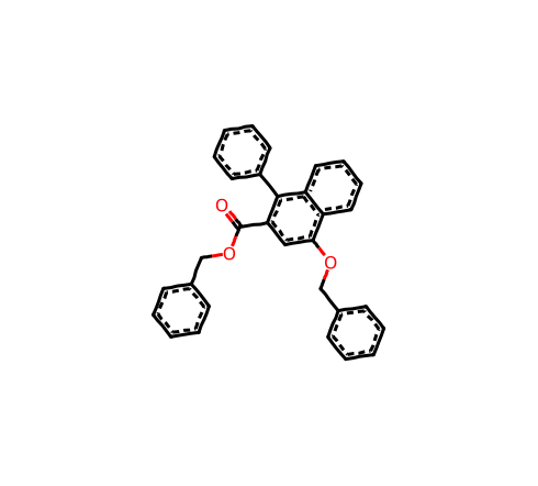 O=C(OCc1ccccc1)c1cc(OCc2ccccc2)c2ccccc2c1-c1ccccc1